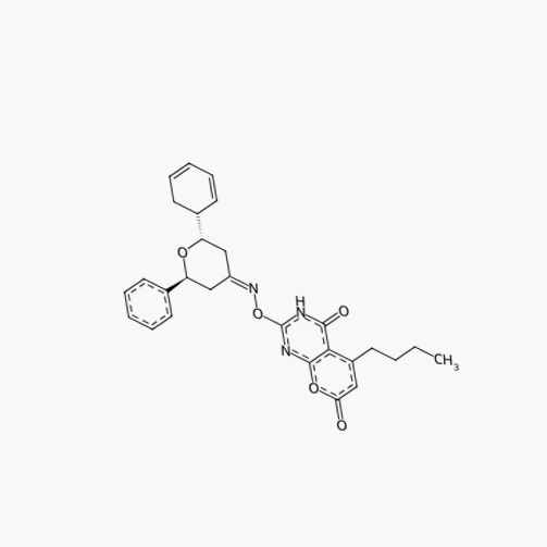 CCCCc1cc(=O)oc2nc(O/N=C3\C[C@@H](c4ccccc4)O[C@H](C4C=CC=CC4)C3)[nH]c(=O)c12